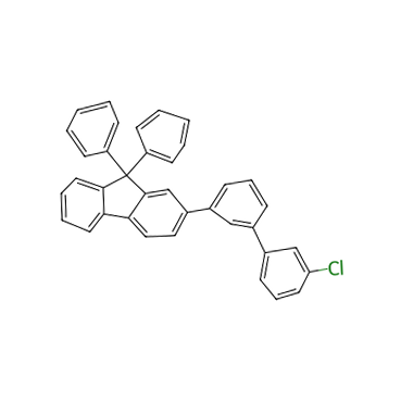 Clc1cccc(-c2cccc(-c3ccc4c(c3)C(c3ccccc3)(c3ccccc3)c3ccccc3-4)c2)c1